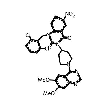 COc1cc2ncnc(N3CCC(n4c(=O)c5cc([N+](=O)[O-])ccc5n(Cc5c(Cl)cccc5Cl)c4=O)CC3)c2cc1OC